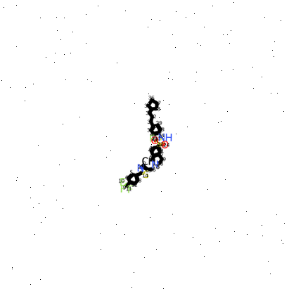 Cc1nc(-c2ccc(C(F)(F)F)cc2)sc1CN1CCc2cc(S(=O)(=O)Nc3ccc(CCCC4CCCC4)cc3F)ccc2C1